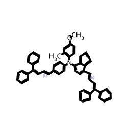 COc1ccc(N(c2ccc(/C=C/C=C(c3ccccc3)c3ccccc3)cc2)c2ccc(/C=C/C=C(c3ccccc3)c3ccccc3)c3ccccc23)c(C)c1